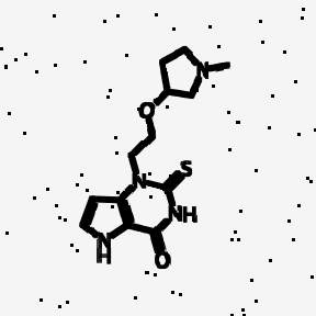 CN1CCC(OCCn2c(=S)[nH]c(=O)c3[nH]ccc32)C1